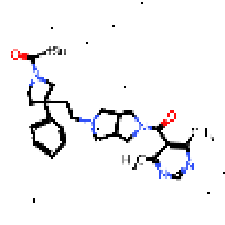 Cc1ncnc(C)c1C(=O)N1CC2CN(CCC3(c4ccccc4)CCN(C(=O)C(C)(C)C)C3)CC2C1